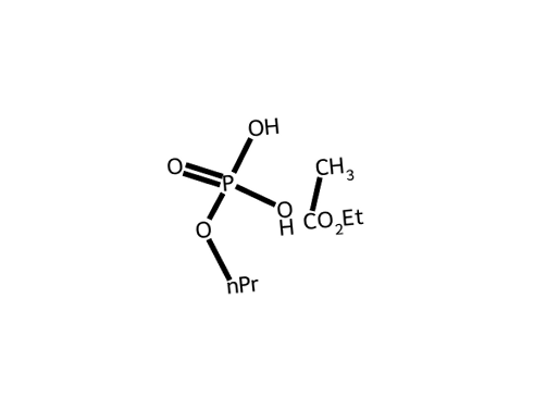 CCCOP(=O)(O)O.CCOC(C)=O